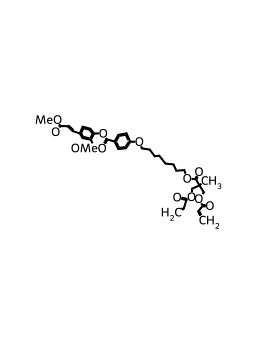 C=CC(=O)OCC(C)(COC(=O)C=C)C(=O)OCCCCCCCCOc1ccc(C(=O)Oc2ccc(/C=C/C(=O)OC)cc2OC)cc1